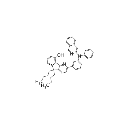 CCCCC1(CCCC)c2ccc(-c3cccc(N(c4ccccc4)c4cc5ccccc5cn4)c3)nc2-c2c(O)cccc21